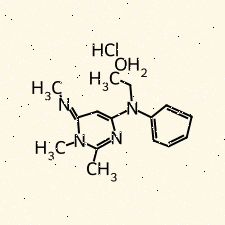 CCN(c1ccccc1)c1cc(=NC)n(C)c(C)n1.Cl.O